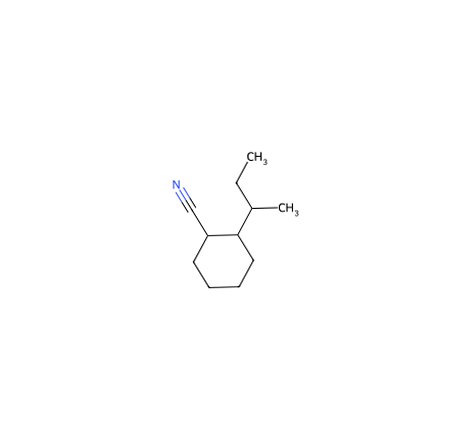 CCC(C)C1CCCCC1C#N